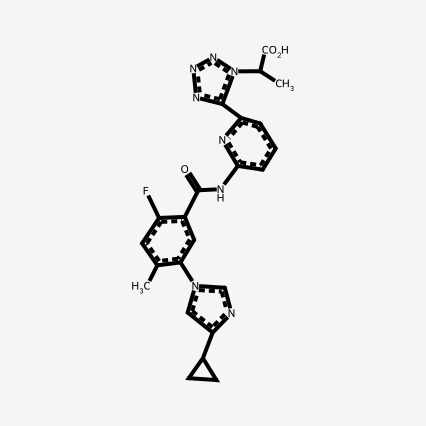 Cc1cc(F)c(C(=O)Nc2cccc(-c3nnnn3C(C)C(=O)O)n2)cc1-n1cnc(C2CC2)c1